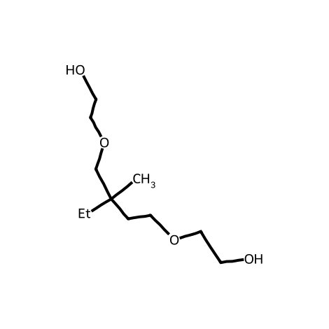 CCC(C)(CCOCCO)COCCO